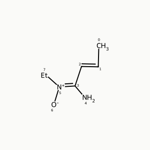 C/C=C/C(N)=[N+](/[O-])CC